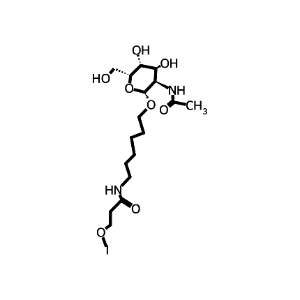 CC(=O)N[C@H]1[C@H](OCCCCCCNC(=O)CCOI)O[C@H](CO)[C@H](O)[C@@H]1O